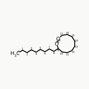 CCCCCCCCCC1CCCCCCCCOO1